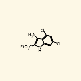 CCOC(=O)c1[nH]c2cc(Cl)cc(Cl)c2c1N